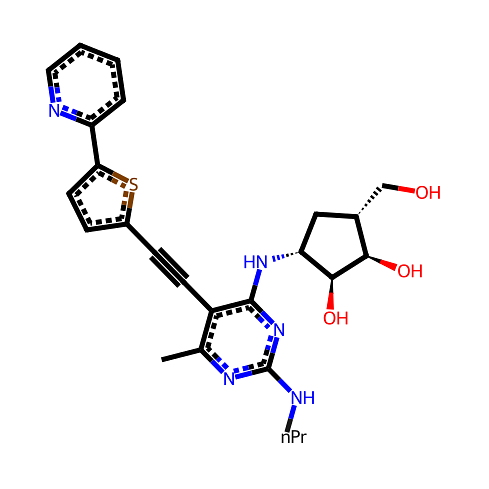 CCCNc1nc(C)c(C#Cc2ccc(-c3ccccn3)s2)c(N[C@@H]2C[C@H](CO)[C@@H](O)[C@H]2O)n1